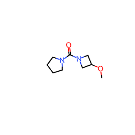 COC1CN(C(=O)N2CCCC2)C1